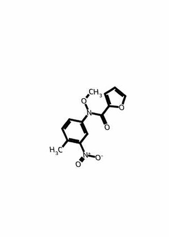 CON(C(=O)c1ccco1)c1ccc(C)c([N+](=O)[O-])c1